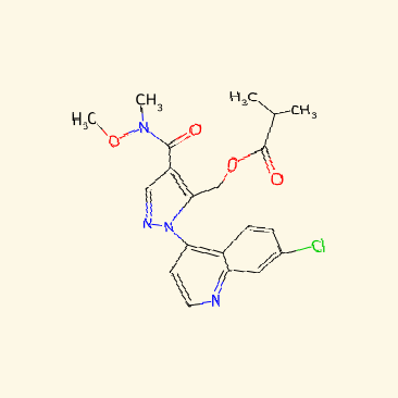 CON(C)C(=O)c1cnn(-c2ccnc3cc(Cl)ccc23)c1COC(=O)C(C)C